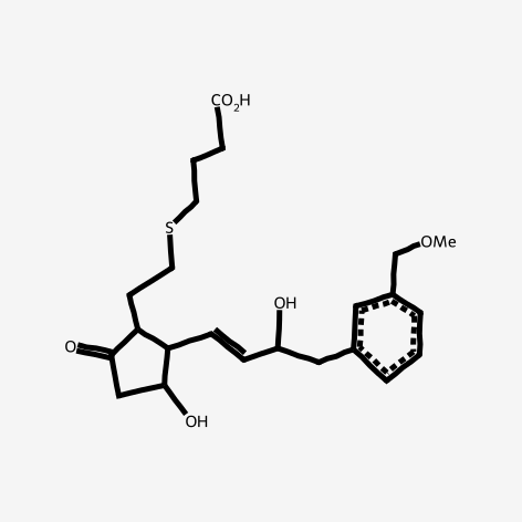 COCc1cccc(CC(O)/C=C/C2C(O)CC(=O)C2CCSCCCC(=O)O)c1